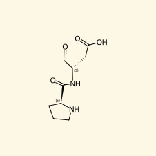 O=C[C@H](CC(=O)O)NC(=O)[C@@H]1CCCN1